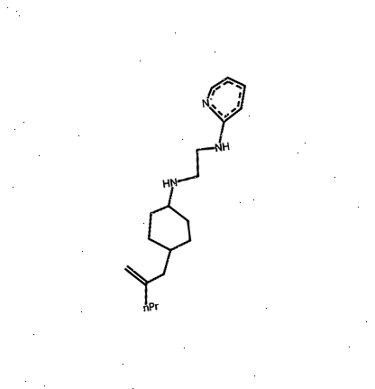 C=C(CCC)CC1CCC(NCCNc2ccccn2)CC1